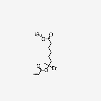 C=CC(=O)OC(C)(CC)CCCCCC(=O)OC(C)CC